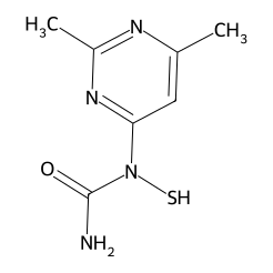 Cc1cc(N(S)C(N)=O)nc(C)n1